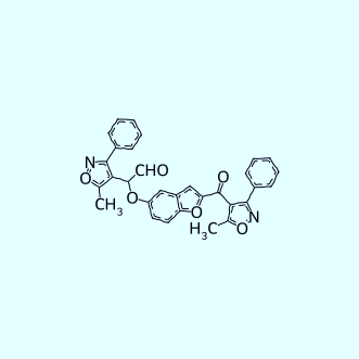 Cc1onc(-c2ccccc2)c1C(=O)c1cc2cc(OC(C=O)c3c(-c4ccccc4)noc3C)ccc2o1